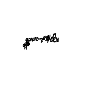 Cc1c(-c2ccc(C#N)c(Cl)c2)nn(Cc2ccc(C#CC3CCN(C4CCN(c5ccc6c(c5)C(=O)N(C5CCC(=O)NC5=O)C6=O)CC4)CC3)c(F)c2)c1C